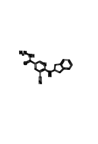 N#Cc1cc(C(=O)NN)cnc1NC1Cc2ccccc2C1